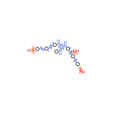 Cc1cc(N=Nc2ccc(S(=O)(=O)O)cc2)ccc1N=Nc1ccc(Nc2nc(Nc3ccccc3)nc(Nc3ccc(N=Nc4ccc(N=Nc5ccc(SOOO)cc5)cc4S(=O)(=O)O)c(C)c3)n2)cc1C